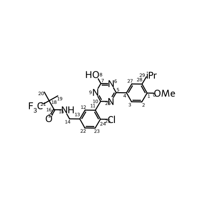 COc1ccc(-c2nc(O)nc(-c3cc(CNC(=O)C(C)(C)C(F)(F)F)ccc3Cl)n2)cc1C(C)C